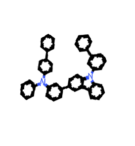 c1ccc(-c2ccc(N(c3ccccc3)c3cccc(-c4ccc5c(c4)c4ccccc4n5-c4cccc(-c5ccccc5)c4)c3)cc2)cc1